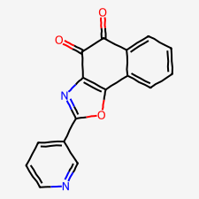 O=C1C(=O)c2nc(-c3cccnc3)oc2-c2ccccc21